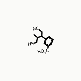 CC(CS)C(CC#N)c1cccc(C(=O)O)c1